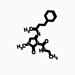 C=C(CCC1CC=CCC1)/N=C1\CN(C)C(=O)N1C(=O)NCC